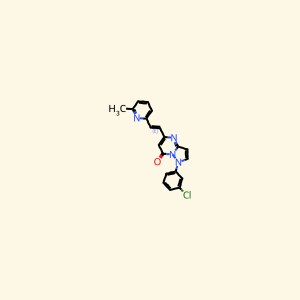 Cc1cccc(/C=C/c2cc(=O)n3c(ccn3-c3cccc(Cl)c3)n2)n1